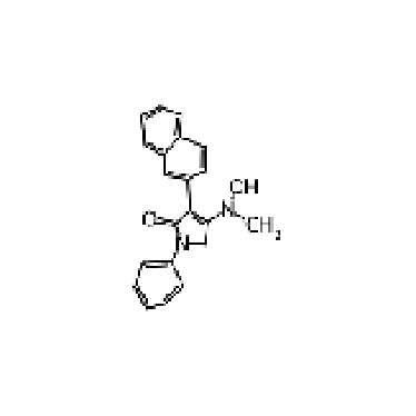 CN(O)C1=C(c2ccc3ccccc3c2)C(=O)N(c2ccccc2)C1